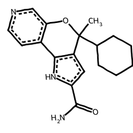 CC1(C2CCCCC2)Oc2cnccc2-c2[nH]c(C(N)=O)cc21